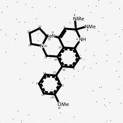 CNC1=CC(NC)(NC)Nc2ccc(-c3cccc(OC)c3)c(CN3CCCC3)c21